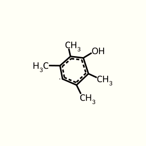 Cc1[c]c(C)c(C)c(O)c1C